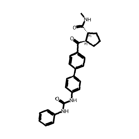 CNC(=O)[C@@H]1CCC[C@H]1C(=O)c1ccc(-c2ccc(NC(=O)Nc3ccccc3)cc2)cc1